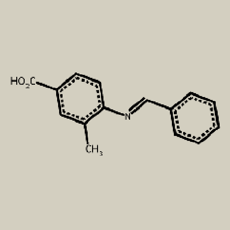 Cc1cc(C(=O)O)ccc1/N=C/c1ccccc1